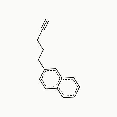 [C]#CCCCc1ccc2ccccc2c1